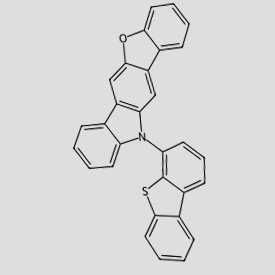 c1ccc2c(c1)oc1cc3c4ccccc4n(-c4cccc5c4sc4ccccc45)c3cc12